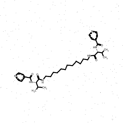 CC(C)[C@H](NC(=O)c1ccncc1)C(=O)NCCCCCCCCCCCCNC(=O)[C@H](NC(=O)c1ccncc1)C(C)C